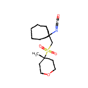 CC1(S(=O)(=O)CC2(N=C=O)CCCCC2)CCOCC1